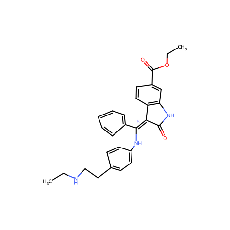 CCNCCc1ccc(N/C(=C2\C(=O)Nc3cc(C(=O)OCC)ccc32)c2ccccc2)cc1